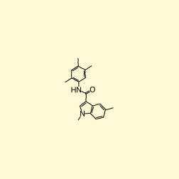 Cc1ccc2c(c1)c(C(=O)Nc1cc(C)c(C)cc1C)cn2C